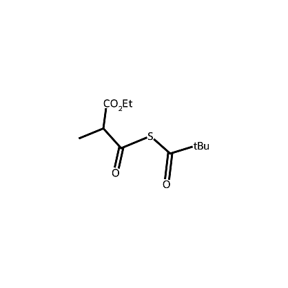 CCOC(=O)C(C)C(=O)SC(=O)C(C)(C)C